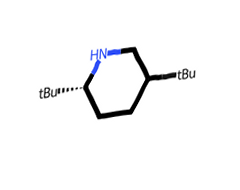 CC(C)(C)C1CC[C@H](C(C)(C)C)NC1